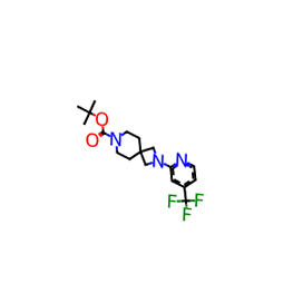 CC(C)(C)OC(=O)N1CCC2(CC1)CN(c1cc(C(F)(F)F)ccn1)C2